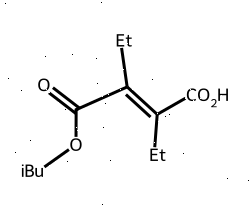 CCC(C(=O)O)=C(CC)C(=O)OC(C)CC